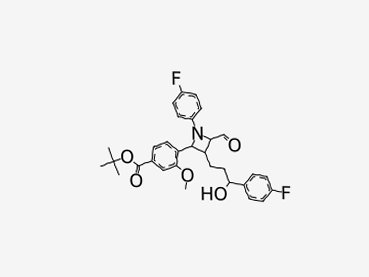 COc1cc(C(=O)OC(C)(C)C)ccc1C1C(CCC(O)c2ccc(F)cc2)C(C=O)N1c1ccc(F)cc1